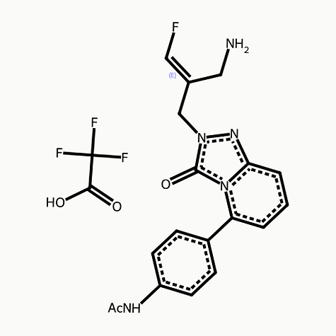 CC(=O)Nc1ccc(-c2cccc3nn(C/C(=C/F)CN)c(=O)n23)cc1.O=C(O)C(F)(F)F